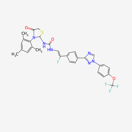 Cc1cc(C)c(N2C(=O)CSC2NC(=O)N/C=C(\F)c2ccc(-c3ncn(-c4ccc(OC(F)(F)F)cc4)n3)cc2)c(C)c1